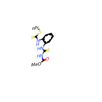 CCCSC(=S)Nc1ccccc1NC(=S)NC(=O)OC